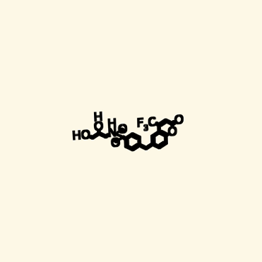 O=c1cc(C(F)(F)F)c2cc(Cc3ccc(S(=O)(=O)NCC(O)CO)cc3)ccc2o1